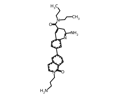 CCCN(CCC)C(=O)C1=Cc2ccc(-c3ccc4c(=O)n(CCCN)ccc4c3)cc2N=C(N)C1